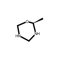 C[C@H]1NCNCO1